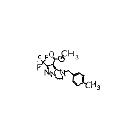 COC(=O)c1c(C(F)(F)F)nn2c1N(Cc1ccc(C)cc1)CC2